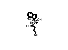 NCCCC(O)OP(=O)(O)C1(P(=O)(O)O)C=Cc2ccccc21